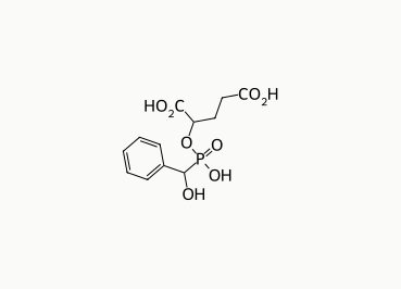 O=C(O)CCC(OP(=O)(O)C(O)c1ccccc1)C(=O)O